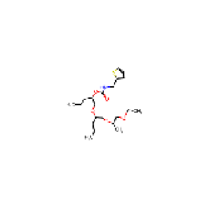 CCCC(COC(C)COCC)OCC(CCC)OC(=O)NCc1cccs1